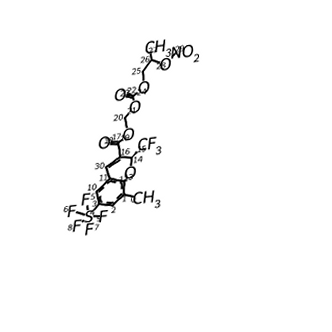 Cc1cc(S(F)(F)(F)(F)F)cc2c1O[C@H](C(F)(F)F)C(C(=O)OCOC(=O)OCC(C)O[N+](=O)[O-])=C2